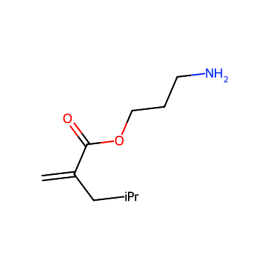 C=C(CC(C)C)C(=O)OCCCN